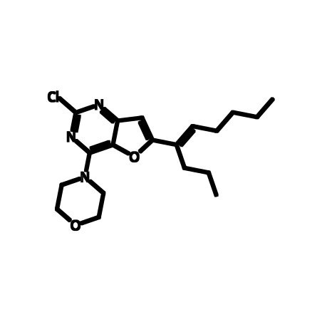 CCCC/C=C(\CCC)c1cc2nc(Cl)nc(N3CCOCC3)c2o1